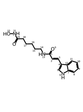 O=C(C=Cc1c[nH]c2ccccc12)NCCCCCC(=O)NO